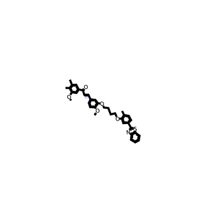 COc1ccc(/C=C/C(=O)c2cc(C)c(C)c(OC)c2)cc1OCCCCOc1cc(-c2nc3ccccc3s2)ccc1C